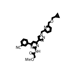 COCC(=O)Nc1nc(-c2cccc(C#N)c2)cc(-c2cn(Cc3cccc(COCC4CC4)n3)nn2)n1